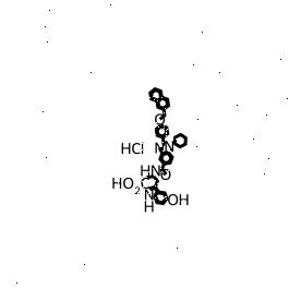 Cl.O=C(O)CC(Cc1c[nH]c2ccc(O)cc12)NC(=O)c1ccc2c(c1)nc(-c1ccc(OCc3ccc4ccccc4c3)cc1)n2C1CCCCC1